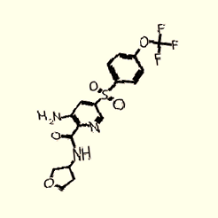 Nc1cc(S(=O)(=O)c2ccc(OC(F)(F)F)cc2)cnc1C(=O)NC1CCOC1